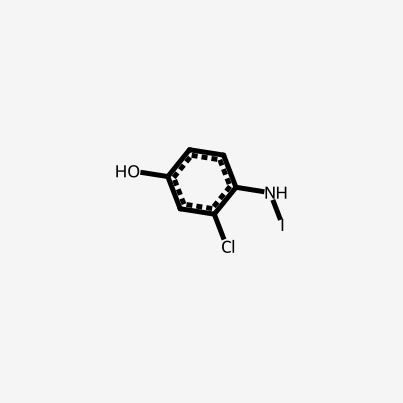 Oc1ccc(NI)c(Cl)c1